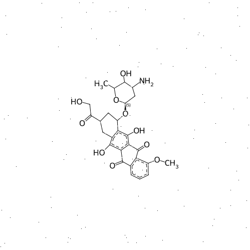 COc1cccc2c1C(=O)c1c(O)c3c(c(O)c1C2=O)CC(C(=O)CO)CC3O[C@@H]1CC(N)C(O)C(C)O1